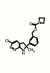 CC1(c2cccc(COC(=O)N3CCC3)c2)Cc2cc(Cl)nnc2N1